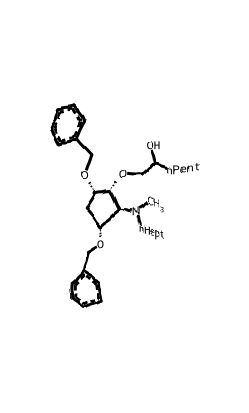 CCCCCCCN(C)[C@@H]1[C@@H](OCC(O)CCCCC)[C@@H](OCc2ccccc2)C[C@H]1OCc1ccccc1